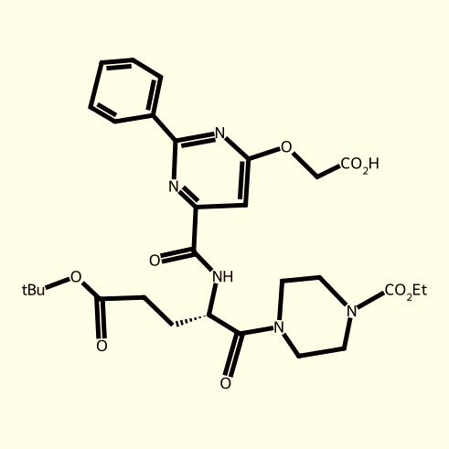 CCOC(=O)N1CCN(C(=O)[C@H](CCC(=O)OC(C)(C)C)NC(=O)c2cc(OCC(=O)O)nc(-c3ccccc3)n2)CC1